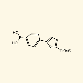 CCCCCc1ccc(-c2ccc(B(O)O)cc2)s1